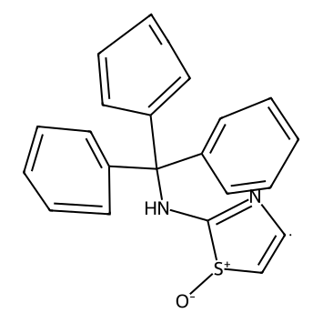 [O-][s+]1c[c]nc1NC(c1ccccc1)(c1ccccc1)c1ccccc1